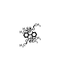 CCOP(=O)(OCC)c1cccc(OC)c1-c1c(OC)cccc1P(=O)(OCC)OCC